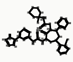 Cc1ccccc1C1CC(NC(=O)Nc2cccc(-c3nnn[nH]3)c2)C(=O)N(CC(=O)NC2(C)CCCCC2)C(c2ccccc2)C1